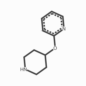 [c]1cccnc1OC1CCNCC1